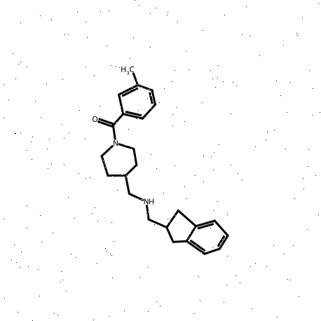 Cc1cccc(C(=O)N2CCC(CNCC3Cc4ccccc4C3)CC2)c1